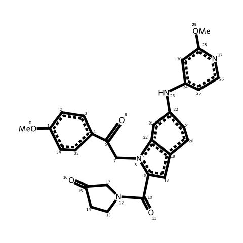 COc1ccc(C(=O)Cn2c(C(=O)N3CCC(=O)C3)cc3ccc(Nc4ccnc(OC)c4)cc32)cc1